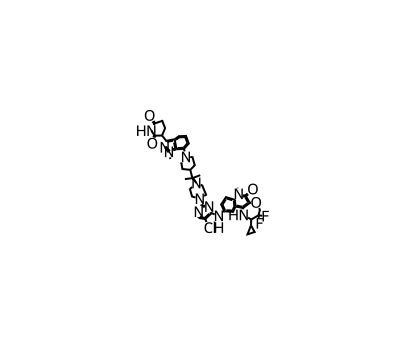 Cn1nc(C2CCC(=O)NC2=O)c2cccc(N3CCC(C(C)(C)N4CCN(c5ncc(Cl)c(Nc6ccc7c(c6)c6c(c(=O)n7C)OCC(F)(F)C(C7CC7)N6)n5)CC4)CC3)c21